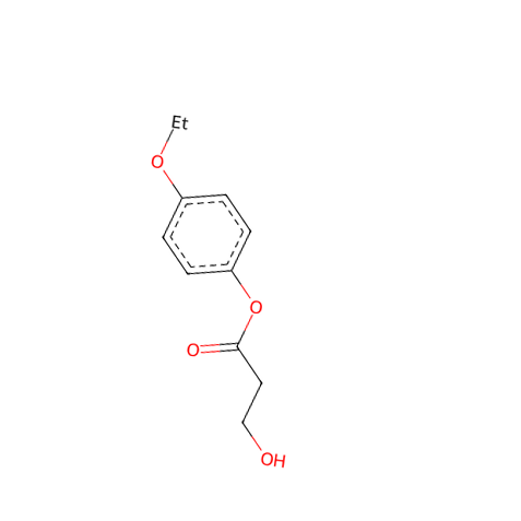 CCOc1ccc(OC(=O)CCO)cc1